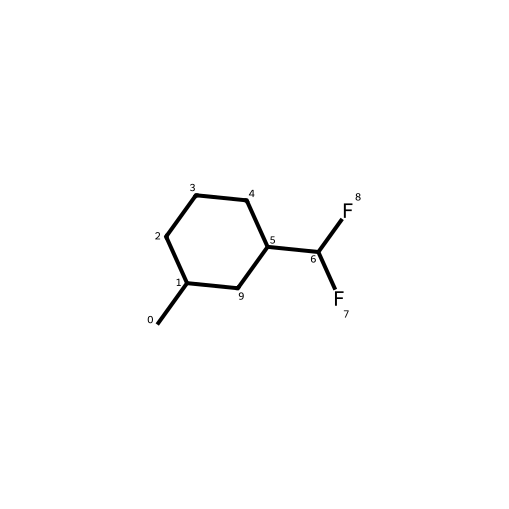 CC1CCCC(C(F)F)C1